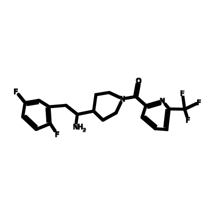 NC(Cc1cc(F)ccc1F)C1CCN(C(=O)c2cccc(C(F)(F)F)n2)CC1